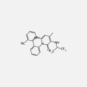 CCCCc1cc(C)c(NC(C(F)(F)F)C(F)(F)F)c(=O)n1-c1ccccc1-c1ccccc1C#N